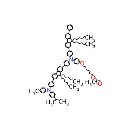 CCCCCCC1(CCCCCC)c2cc(-c3ccccc3)ccc2-c2ccc(-c3ccc(N(c4ccc(OCCCCCCOCC5(C)COC5)cc4)c4ccc(-c5ccc6c(c5)C(CCCCCC)(CCCCCC)c5cc(-c7ccc(N(c8ccc(C)cc8)c8ccc(C(C)CC)cc8)cc7)ccc5-6)cc4)cc3)cc21